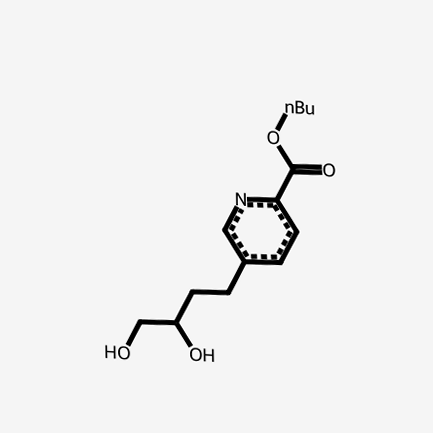 CCCCOC(=O)c1ccc(CCC(O)CO)cn1